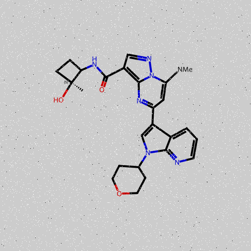 CNc1cc(-c2cn(C3CCOCC3)c3ncccc23)nc2c(C(=O)NC3CC[C@]3(C)O)cnn12